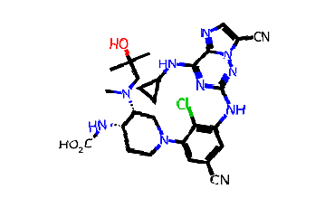 CN(CC(C)(C)O)[C@@H]1CN(c2cc(C#N)cc(Nc3nc(NC4CC4)c4ncc(C#N)n4n3)c2Cl)CC[C@@H]1NC(=O)O